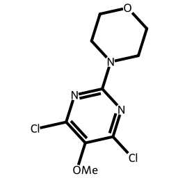 COc1c(Cl)nc(N2CCOCC2)nc1Cl